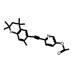 CC(=O)Oc1ccc(C#Cc2cc3c(cc2C)SC(C)(C)CC3(C)C)nc1